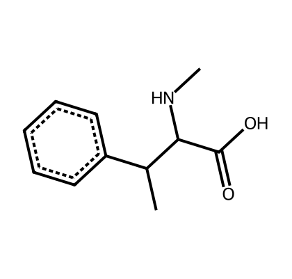 CNC(C(=O)O)C(C)c1ccccc1